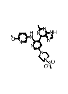 COc1ccc(Nc2ncc(N3CCN(S(C)(=O)=O)CC3)cc2-c2nc(C)nc3[nH]cnc23)cn1